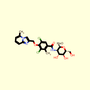 CO[C@H]1O[C@H](CO)[C@@H](O)[C@H](O)[C@H]1NC(=O)c1cc(Cl)c(OCc2cn3c(C)cccc3n2)c(Cl)c1C